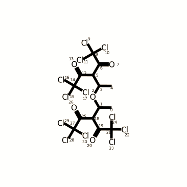 CC(OC(C)C(C(=O)C(Cl)(Cl)Cl)C(=O)C(Cl)(Cl)Cl)C(C(=O)C(Cl)(Cl)Cl)C(=O)C(Cl)(Cl)Cl